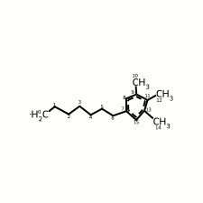 [CH2]CCCCCCc1cc(C)c(C)c(C)c1